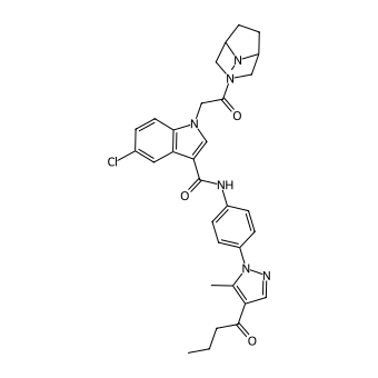 CCCC(=O)c1cnn(-c2ccc(NC(=O)c3cn(CC(=O)N4CC5CCC(C4)N5C)c4ccc(Cl)cc34)cc2)c1C